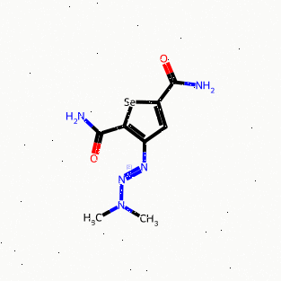 CN(C)/N=N/c1cc(C(N)=O)[se]c1C(N)=O